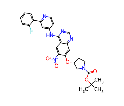 CC(C)(C)OC(=O)N1CC[C@@H](Oc2cc3ncnc(Nc4ccnc(-c5ccccc5F)c4)c3cc2[N+](=O)[O-])C1